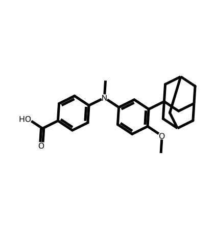 COc1ccc(N(C)c2ccc(C(=O)O)cc2)cc1C12CC3CC(CC(C3)C1)C2